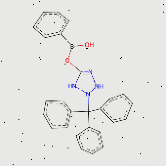 OB(OC1=NNN(C(c2ccccc2)(c2ccccc2)c2ccccc2)N1)c1ccccc1